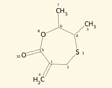 C=C1CSC(C)C(C)OC1=O